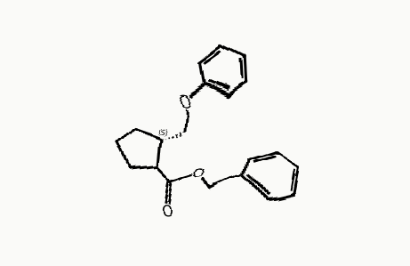 O=C(OCc1ccccc1)C1CCC[C@@H]1COc1ccccc1